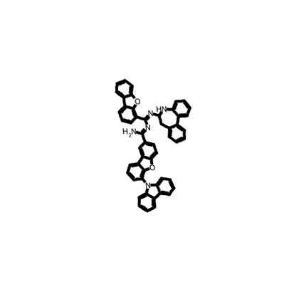 N/C(=N\C(=N/C1Cc2ccccc2-c2ccccc2N1)c1cccc2c1oc1ccccc12)c1ccc2oc3c(-n4c5ccccc5c5ccccc54)cccc3c2c1